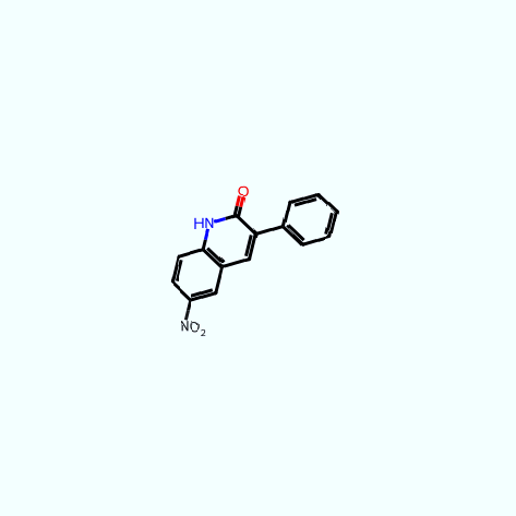 O=c1[nH]c2ccc([N+](=O)[O-])cc2cc1-c1ccccc1